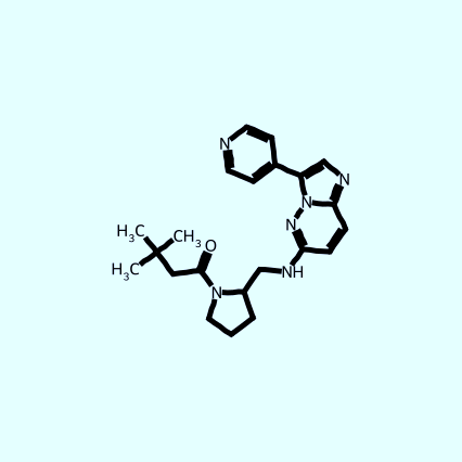 CC(C)(C)CC(=O)N1CCCC1CNc1ccc2ncc(-c3ccncc3)n2n1